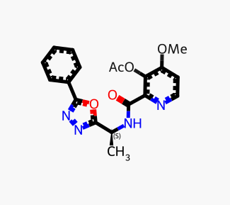 COc1ccnc(C(=O)N[C@@H](C)c2nnc(-c3ccccc3)o2)c1OC(C)=O